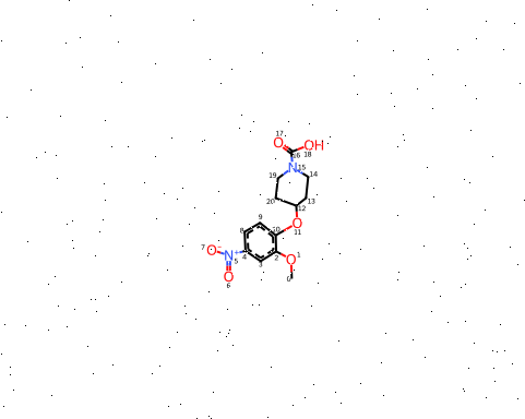 COc1cc([N+](=O)[O-])ccc1OC1CCN(C(=O)O)CC1